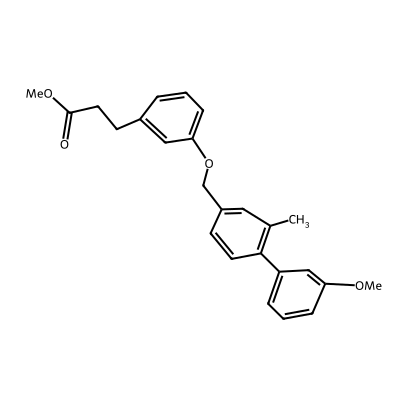 COC(=O)CCc1cccc(OCc2ccc(-c3cccc(OC)c3)c(C)c2)c1